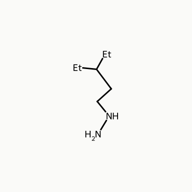 CCC(CC)CCNN